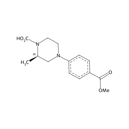 COC(=O)c1ccc(N2CCN(C(=O)O)[C@H](C)C2)cc1